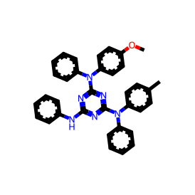 COc1ccc(N(c2ccccc2)c2nc(Nc3ccccc3)nc(N(c3ccccc3)c3ccc(C)cc3)n2)cc1